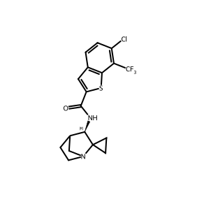 O=C(N[C@@H]1C2CCN(C2)C12CC2)c1cc2ccc(Cl)c(C(F)(F)F)c2s1